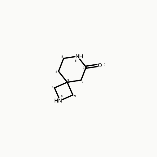 O=C1CC2(CCN1)CNC2